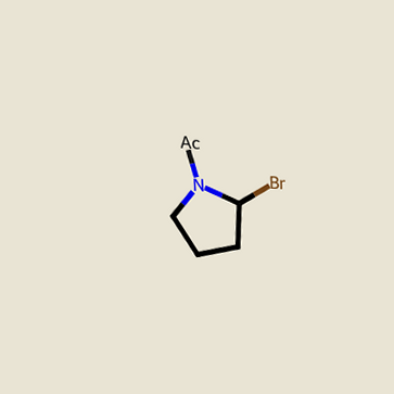 CC(=O)N1CCCC1Br